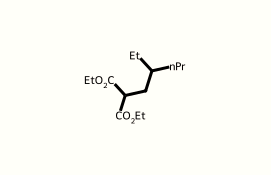 CCCC(CC)CC(C(=O)OCC)C(=O)OCC